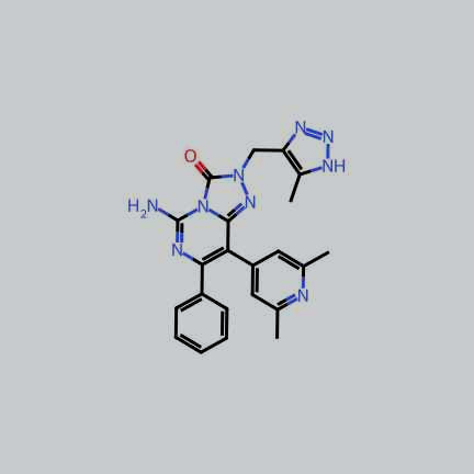 Cc1cc(-c2c(-c3ccccc3)nc(N)n3c(=O)n(Cc4nn[nH]c4C)nc23)cc(C)n1